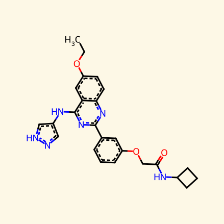 CCOc1ccc2nc(-c3cccc(OCC(=O)NC4CCC4)c3)nc(Nc3cn[nH]c3)c2c1